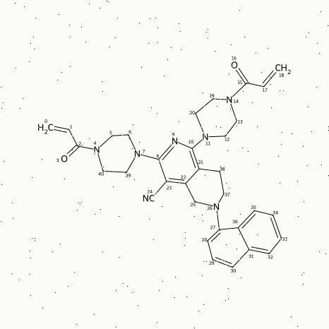 C=CC(=O)N1CCN(c2nc(N3CCN(C(=O)C=C)CC3)c3c(c2C#N)CN(c2cccc4ccccc24)CC3)CC1